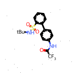 CC(C)(C)NS(=O)(=O)c1ccccc1-c1ccc(NC(=O)C(F)(F)F)cc1